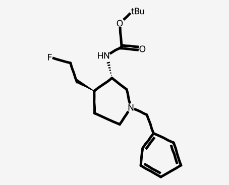 CC(C)(C)OC(=O)N[C@@H]1CN(Cc2ccccc2)CC[C@H]1CCF